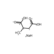 [CH2]C(CC(=O)O)C(=O)O.[NaH]